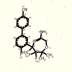 CC1(C)OCC(N)=NC(C)(c2cc(-c3ccc(C#N)cc3)ccc2F)C1(F)F